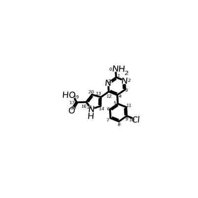 Nc1ncc(-c2cccc(Cl)c2)c(-c2c[nH]c(C(=O)O)c2)n1